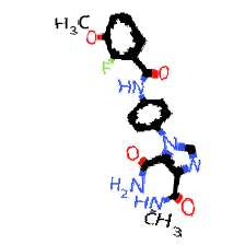 CNC(=O)c1ncn(-c2ccc(NC(=O)c3cccc(OC)c3F)cc2)c1C(N)=O